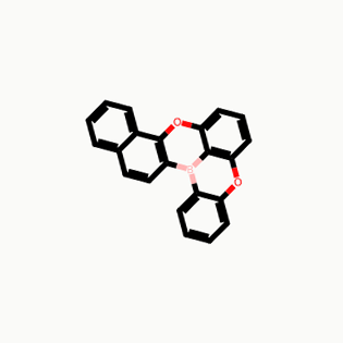 c1ccc2c(c1)Oc1cccc3c1B2c1ccc2ccccc2c1O3